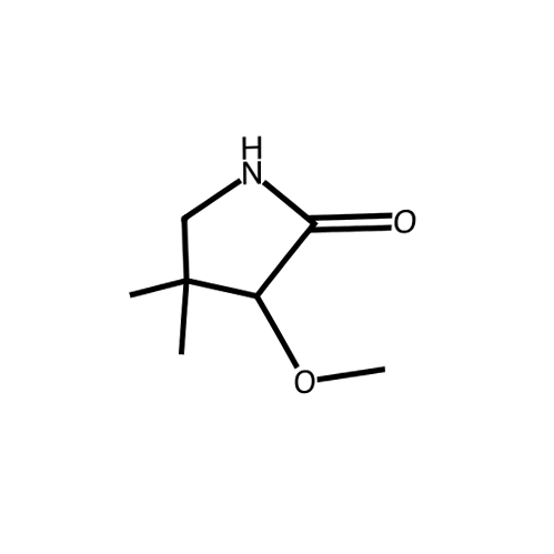 COC1C(=O)NCC1(C)C